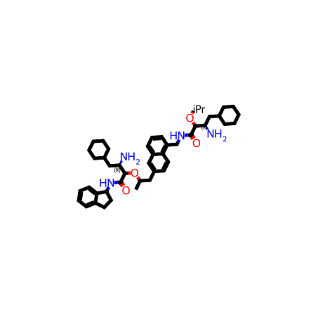 CC(C)OC(C(=O)NCc1cccc2cc(CC(C)OC(C(=O)NC3CCc4ccccc43)[C@H](N)CC3CCCCC3)ccc12)[C@H](N)CC1CCCCC1